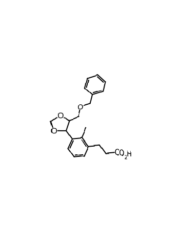 Cc1c(CCC(=O)O)cccc1C1OCOC1COCc1ccccc1